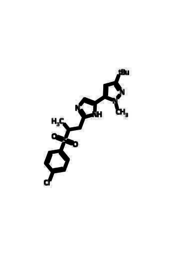 CC(Cc1ncc(-c2cc(C(C)(C)C)nn2C)[nH]1)S(=O)(=O)c1ccc(Cl)cc1